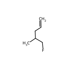 C=CCC(C)CF